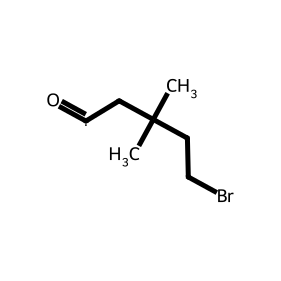 CC(C)(C[C]=O)CCBr